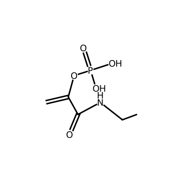 C=C(OP(=O)(O)O)C(=O)NCC